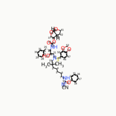 CC(C)(CCCCCN/C(=N/C#N)Oc1ccccc1)CN(C[C@@H](O)[C@H](Cc1ccccc1)NC(=O)O[C@H]1CO[C@H]2OCC[C@H]21)Sc1ccc2c(c1)OCO2